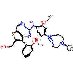 CC(C)Oc1cc(N2CCN(C)CC2)ccc1Nc1ncc2sc(CO)c(-c3ccccc3OC(F)(F)F)c2n1